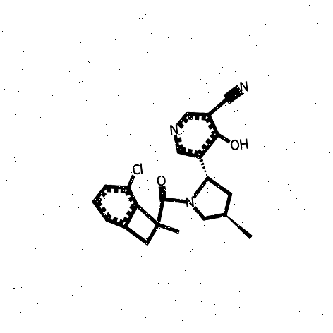 C[C@@H]1C[C@@H](c2cncc(C#N)c2O)N(C(=O)C2(C)Cc3cccc(Cl)c32)C1